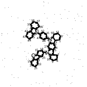 C1=CC2c3cc4c5ccccc5n(-c5ccc6oc7ccccc7c6c5)c4cc3N(c3ccc(-n4c5ccccc5c5ccccc54)cc3)C2C=C1